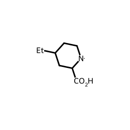 CCC1CC[N]C(C(=O)O)C1